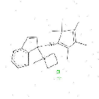 CC1=C(C)C(C)(C)[C]([Zr+2][C]2([Si]3(C)CCC3)C=Cc3ccccc32)=C1C.[Cl-].[Cl-]